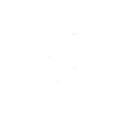 Cc1nc(CC(C)C)c(CN)c(-c2ccc(CN)cc2)c1N